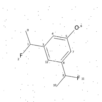 CC(F)c1cc([O])cc(C(C)F)c1